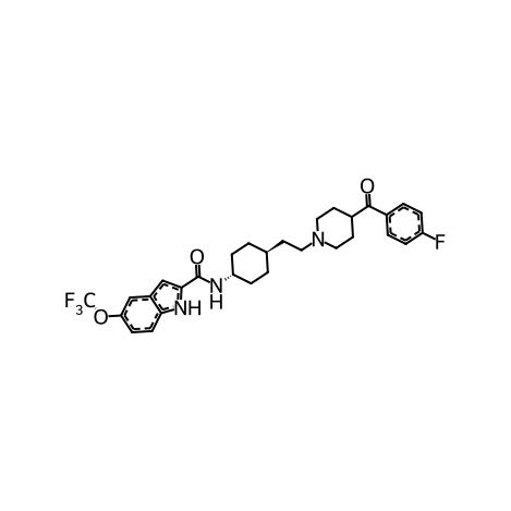 O=C(N[C@H]1CC[C@H](CCN2CCC(C(=O)c3ccc(F)cc3)CC2)CC1)c1cc2cc(OC(F)(F)F)ccc2[nH]1